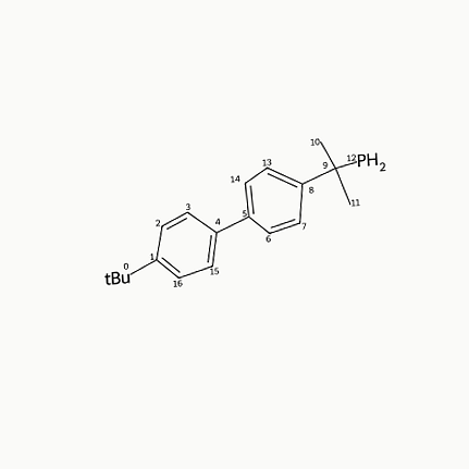 CC(C)(C)c1ccc(-c2ccc(C(C)(C)P)cc2)cc1